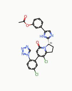 CC(=O)Oc1cccc(-c2cnc([C@@H]3CCc4c(Cl)c(-c5cc(Cl)ccc5-n5cnnn5)cc(=O)n43)[nH]2)c1